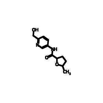 CC1CCC(C(=O)Nc2ccc(CO)nc2)O1